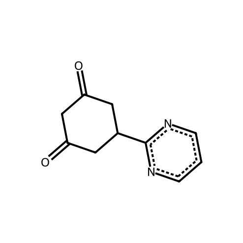 O=C1CC(=O)CC(c2ncccn2)C1